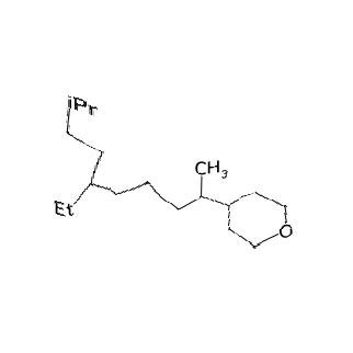 CCC(CCCC(C)C1CCOCC1)CCC(C)C